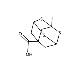 CC12CC3(C(=O)O)CC(SC(C3)S1)S2